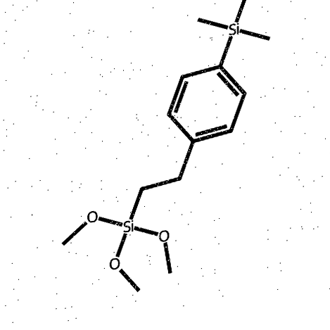 CO[Si](CCc1ccc([Si](C)(C)C)cc1)(OC)OC